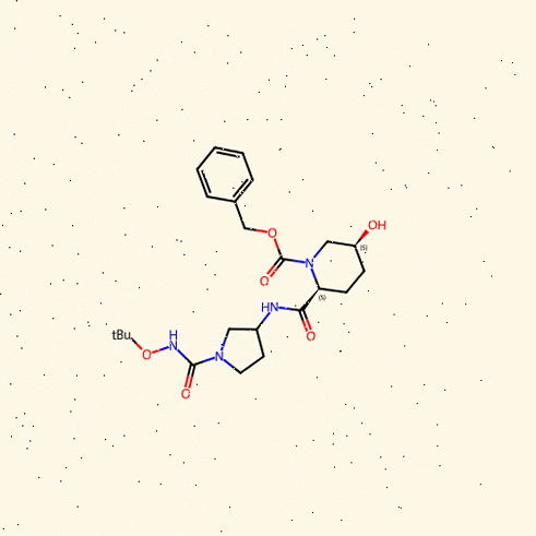 CC(C)(C)ONC(=O)N1CCC(NC(=O)[C@@H]2CC[C@H](O)CN2C(=O)OCc2ccccc2)C1